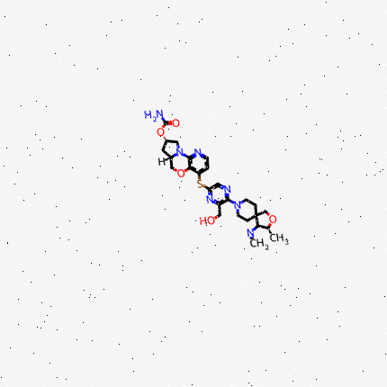 C=NC1[C@H](C)OCC12CCN(c1ncc(Sc3ccnc4c3OC[C@@H]3C[C@H](OC(N)=O)CN43)nc1CO)CC2